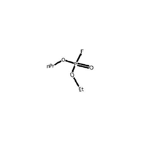 CCCOP(=O)(F)OCC